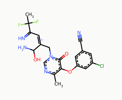 Cc1ncn(C/C(=C/C(=N)C(C)(F)F)C(N)O)c(=O)c1Oc1cc(Cl)cc(C#N)c1